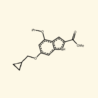 COC(=O)c1cc2c(OC(C)C)cc(OCC3CC3)cc2[nH]1